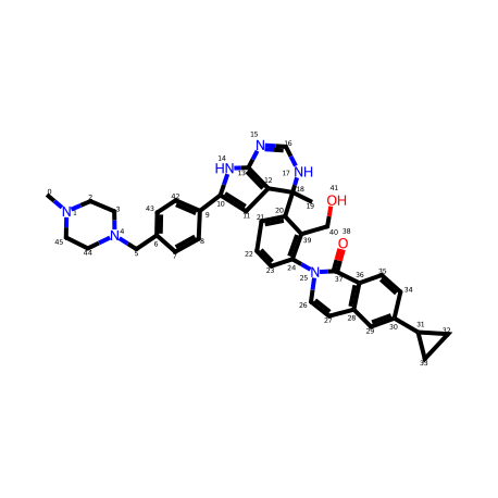 CN1CCN(Cc2ccc(-c3cc4c([nH]3)N=CNC4(C)c3cccc(-n4ccc5cc(C6CC6)ccc5c4=O)c3CO)cc2)CC1